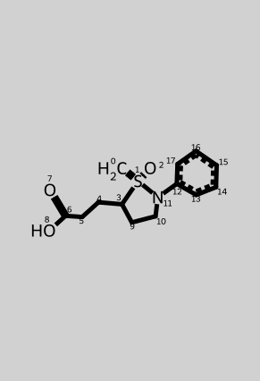 C=S1(=O)C(CCC(=O)O)CCN1c1ccccc1